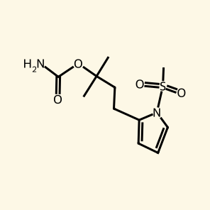 CC(C)(CCc1cccn1S(C)(=O)=O)OC(N)=O